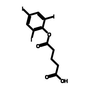 O=C(O)CCCC(=O)Oc1c(I)cc(I)cc1I